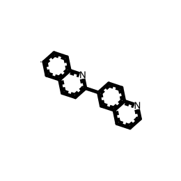 [c]1ccc2nc(-c3ccc4ncccc4c3)ccc2c1